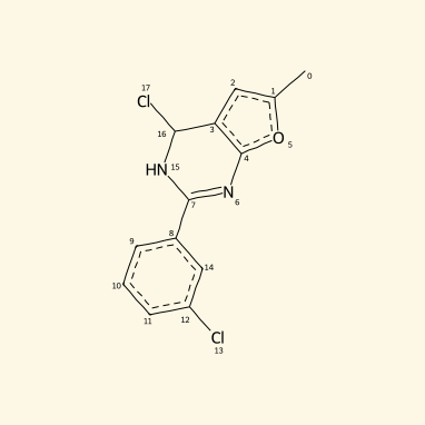 Cc1cc2c(o1)N=C(c1cccc(Cl)c1)NC2Cl